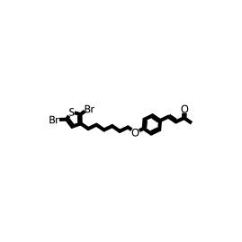 CC(=O)/C=C/c1ccc(OCCCCCCc2cc(Br)sc2Br)cc1